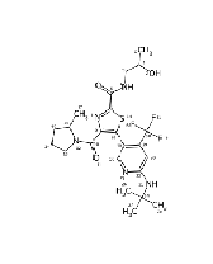 CC(O)CNC(=O)c1nc(C(=O)N2CCCC2C)c(-c2cnc(NC(C)(C)C)cc2C(F)(F)F)s1